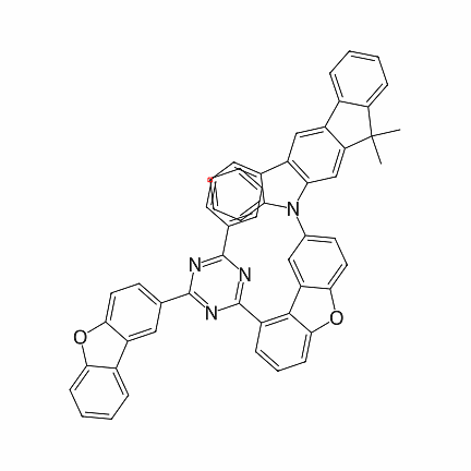 CC1(C)c2ccccc2-c2cc3c4ccccc4n(-c4ccc5oc6cccc(-c7nc(-c8ccccc8)nc(-c8ccc9oc%10ccccc%10c9c8)n7)c6c5c4)c3cc21